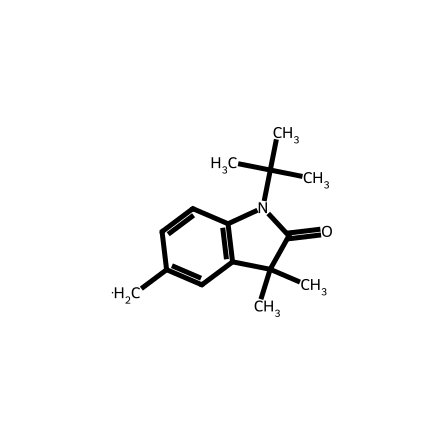 [CH2]c1ccc2c(c1)C(C)(C)C(=O)N2C(C)(C)C